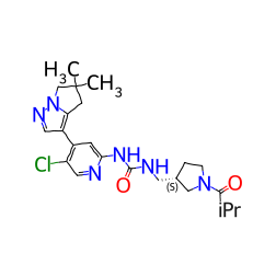 CC(C)C(=O)N1CC[C@@H](CNC(=O)Nc2cc(-c3cnn4c3CC(C)(C)C4)c(Cl)cn2)C1